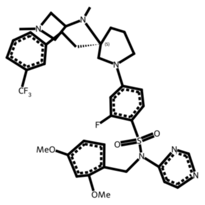 COc1ccc(CN(c2ccncn2)S(=O)(=O)c2ccc(N3CCC[C@](CCc4cccc(C(F)(F)F)c4)(N(C)C4CN(C)C4)C3)cc2F)c(OC)c1